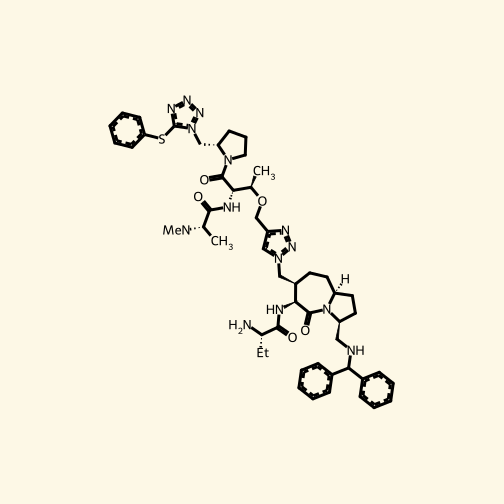 CC[C@H](N)C(=O)N[C@@H]1C(=O)N2[C@@H](CC[C@@H]1Cn1cc(CO[C@H](C)[C@H](NC(=O)[C@H](C)NC)C(=O)N3CCC[C@H]3Cn3nnnc3Sc3ccccc3)nn1)CC[C@H]2CNC(c1ccccc1)c1ccccc1